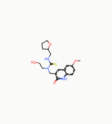 COc1ccc2[nH]c(=O)c(CN(CCO)C(=S)NCC3CCCO3)cc2c1